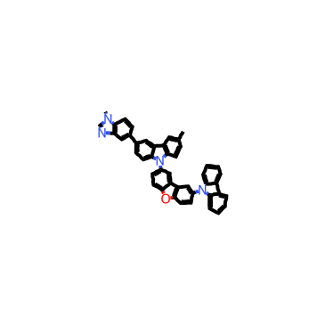 Cc1ccc2c(c1)c1cc(-c3ccc4c(c3)ncn4C)ccc1n2-c1ccc2oc3ccc(-n4c5ccccc5c5ccccc54)cc3c2c1